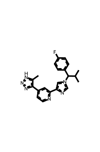 Cc1[nH]nnc1-c1ccnc(-c2cn(C(c3ccc(F)cc3)C(C)C)cn2)c1